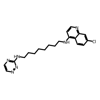 Clc1ccc2c(NCCCCCCCCNc3nccnn3)ccnc2c1